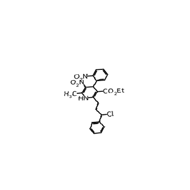 CCOC(=O)C1=C(CCC(Cl)c2ccccc2)NC(C)=C([N+](=O)[O-])C1c1ccccc1[N+](=O)[O-]